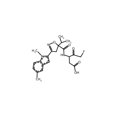 Cc1ccc2c(c1)cc(C1=NOC(C(=O)NC(CC(=O)O)C(=O)CF)(C(C)C)C1)n2C